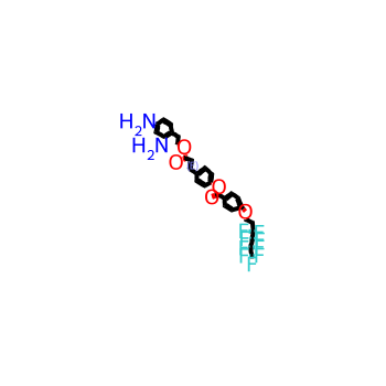 Nc1ccc(CCOC(=O)/C=C/c2ccc(OC(=O)c3ccc(OCCC(F)(F)C(F)(F)C(F)(F)C(F)(F)F)cc3)cc2)c(N)c1